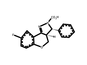 O=C(O)N1N=C2c3cc(F)ccc3OC[C@@H]2[C@H]1c1ccccc1